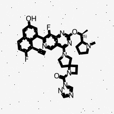 C#Cc1c(F)ccc2cc(O)cc(-c3ncc4c(N5CCC6(CCN6C(=O)n6cncn6)C5)nc(O[C@@H](C)C5CCCN5C)nc4c3F)c12